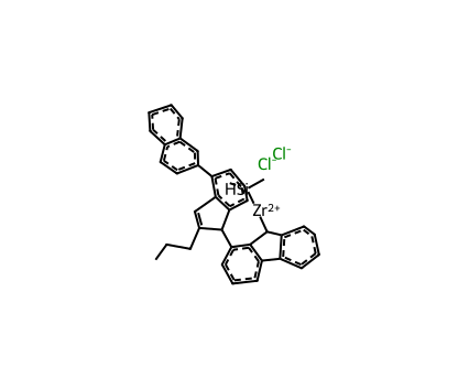 CCCC1=Cc2c(-c3ccc4ccccc4c3)cccc2C1c1cccc2c1[CH]([Zr+2][SiH](C)C)c1ccccc1-2.[Cl-].[Cl-]